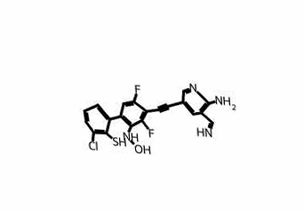 N=Cc1cc(C#Cc2c(F)cc(-c3cccc(Cl)c3S)c(NO)c2F)cnc1N